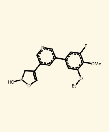 CCOc1cc(-c2cncc(C3=COB(O)C3)c2)cc(F)c1OC